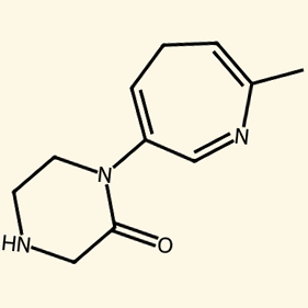 CC1=CCC=C(N2CCNCC2=O)C=N1